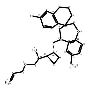 C=CCOC[C@@H](O)[C@@H]1CC[C@H]1CN1CC2(CCCc3cc(Cl)ccc32)COc2ccc(C(=O)O)cc21